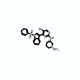 BN1CCC[C@@H](Nc2ncc(Br)c(-c3cn(S(=O)(=O)C4=CCCC=C4)c4ccccc34)n2)C1